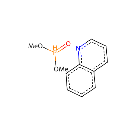 CO[PH](=O)OC.c1ccc2ncccc2c1